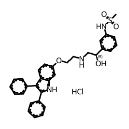 CS(=O)(=O)Nc1cccc([C@@H](O)CNCCOc2ccc3c(-c4ccccc4)c(-c4ccccc4)[nH]c3c2)c1.Cl